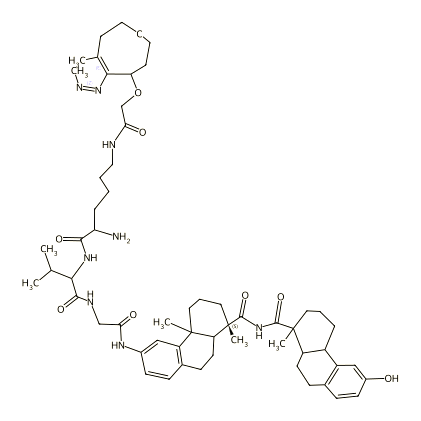 C/N=N\C1=C(/C)CCCCCC1OCC(=O)NCCCCC(N)C(=O)NC(C(=O)NCC(=O)Nc1ccc2c(c1)C1(C)CCC[C@](C)(C(=O)NC(=O)C3(C)CCCC4c5cc(O)ccc5CCC43)C1CC2)C(C)C